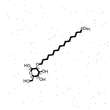 CCCCCCCCCCCCCCCCCCCCCCCCCO[C@@H]1[C@@H](O)[C@H](O)[C@@H](CO)O[C@H]1O